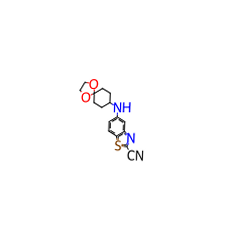 N#Cc1nc2cc(NC3CCC4(CC3)OCCO4)ccc2s1